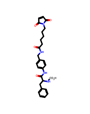 O=C(O)NC(Cc1ccccc1)C(=O)Nc1ccc(CNC(=O)CCCCCN2C(=O)C=CC2=O)cc1